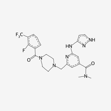 CN(C)C(=O)c1cc(CN2CCN(C(=O)c3cccc(C(F)(F)F)c3F)CC2)nc(Nc2cc[nH]n2)c1